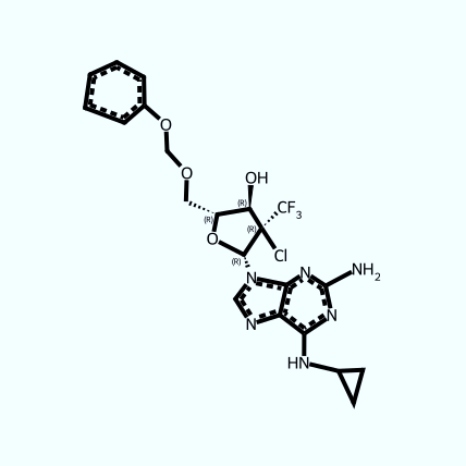 Nc1nc(NC2CC2)c2ncn([C@@H]3O[C@H](COCOc4ccccc4)[C@@H](O)[C@]3(Cl)C(F)(F)F)c2n1